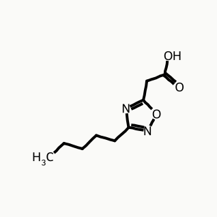 CCCCCc1noc(CC(=O)O)n1